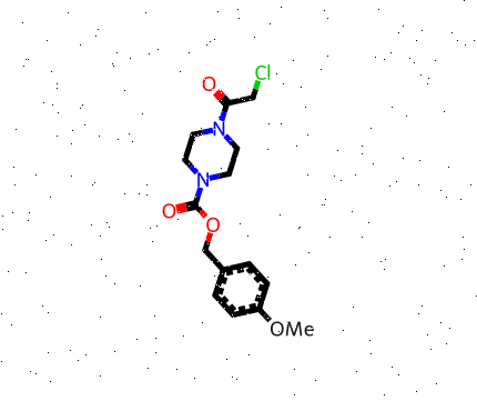 COc1ccc(COC(=O)N2CCN(C(=O)CCl)CC2)cc1